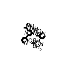 BC(B)(O)COc1ncccc1-c1cc(NCc2cccnc2OC)c(NC(C)C)c(C(C)=N)n1